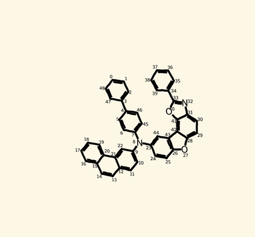 c1ccc(-c2ccc(N(c3ccc4ccc5ccccc5c4c3)c3ccc4oc5ccc6nc(-c7ccccc7)oc6c5c4c3)cc2)cc1